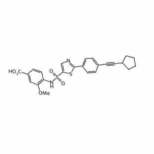 COc1cc(C(=O)O)ccc1NS(=O)(=O)c1cnc(-c2ccc(C#CC3CCCC3)cc2)s1